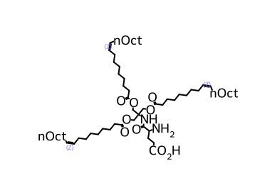 CCCCCCCC/C=C\CCCCCCCC(=O)OCC(COC(=O)CCCCCCC/C=C\CCCCCCCC)(COC(=O)CCCCCCC/C=C\CCCCCCCC)NC(=O)C(N)CCC(=O)O